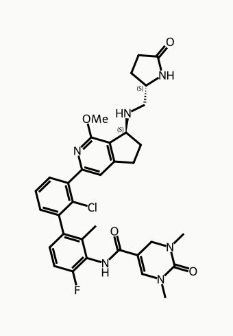 COc1nc(-c2cccc(-c3ccc(F)c(NC(=O)C4=CN(C)C(=O)N(C)C4)c3C)c2Cl)cc2c1[C@@H](NC[C@@H]1CCC(=O)N1)CC2